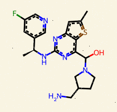 Cc1cc2nc(N[C@@H](C)c3cncc(F)c3)nc(C(O)N3CCC(CN)C3)c2s1